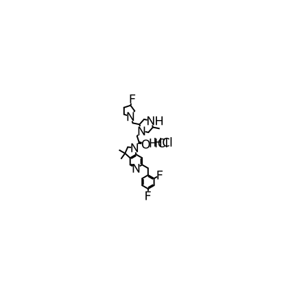 CC1CN(CC(=O)N2CC(C)(C)c3cnc(Cc4ccc(F)cc4F)cc32)C(CN2CCC(F)C2)CN1.Cl.Cl